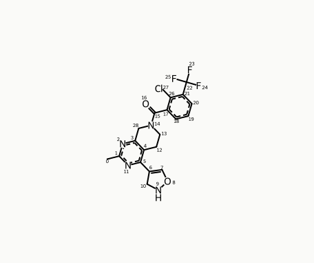 Cc1nc2c(c(C3=CONC3)n1)CCN(C(=O)c1cccc(C(F)(F)F)c1Cl)C2